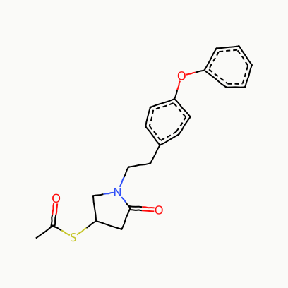 CC(=O)SC1CC(=O)N(CCc2ccc(Oc3ccccc3)cc2)C1